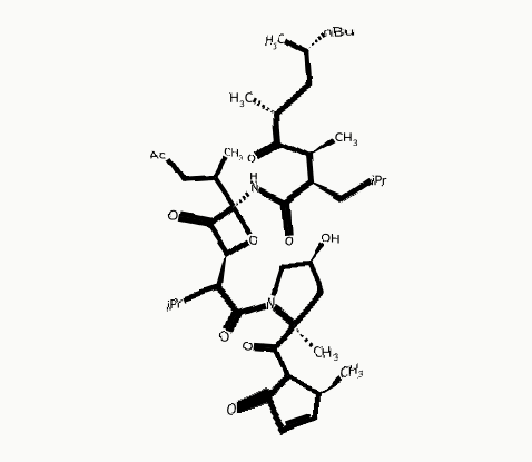 CCCC[C@@H](C)C[C@@H](C)C(=O)[C@@H](C)[C@@H](CC(C)C)C(=O)N[C@]1(C(C)CC(C)=O)O[C@@H](C(C(=O)N2C[C@@H](O)C[C@@]2(C)C(=O)C2C(=O)C=C[C@@H]2C)C(C)C)C1=O